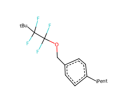 CCCC(C)c1ccc(COC(F)(F)C(F)(F)C(C)(C)C)cc1